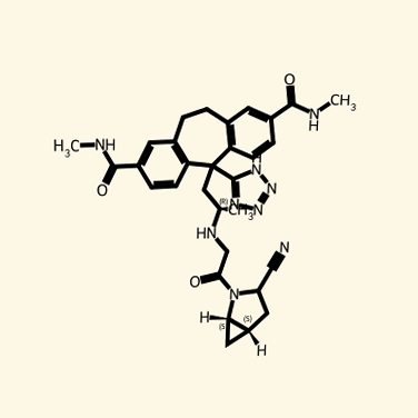 CNC(=O)c1ccc2c(c1)CCc1cc(C(=O)NC)ccc1C2(C[C@@H](C)NCC(=O)N1C(C#N)C[C@@H]2C[C@@H]21)c1nnn[nH]1